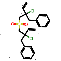 C=CC(Cl)(Cc1ccccc1)CS(=O)(=O)CC(Cl)(C=C)Cc1ccccc1